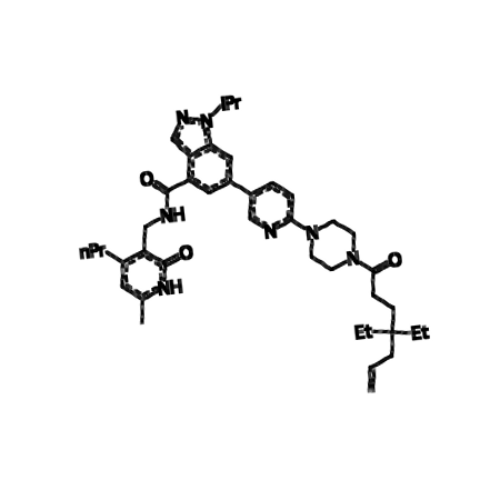 C=CCC(CC)(CC)CCC(=O)N1CCN(c2ccc(-c3cc(C(=O)NCc4c(CCC)cc(C)[nH]c4=O)c4cnn(C(C)C)c4c3)cn2)CC1